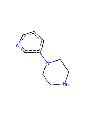 [c]1ncccc1N1CCNCC1